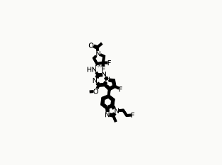 COc1nc(N[C@@H]2CN(C(C)=O)CC2(F)F)nn2cc(F)c(-c3ccc4nc(C)n(CCF)c4c3)c12